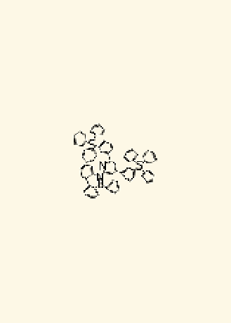 c1ccc(B2c3ccccc3-c3ccccc3N2c2cc(-c3cccc(S(c4ccccc4)(c4ccccc4)c4ccccc4)c3)cc(-c3cccc(S(c4ccccc4)(c4ccccc4)c4ccccc4)c3)n2)cc1